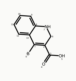 [B]C1=C(C(=O)O)CNc2ccccc21